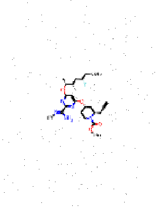 C#CC[C@@H]1C[C@@H](Oc2cc(O[C@@H](C)[C@@H](C)C[C@@H](F)CNC)nc(/C(N)=N/C(C)C)n2)CCN1C(=O)OC(C)(C)C